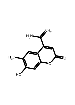 C=C(N)c1cc(=O)oc2cc(O)c(C)cc12